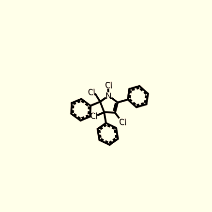 ClC1=C(c2ccccc2)N(Cl)C(Cl)(c2ccccc2)C1(Cl)c1ccccc1